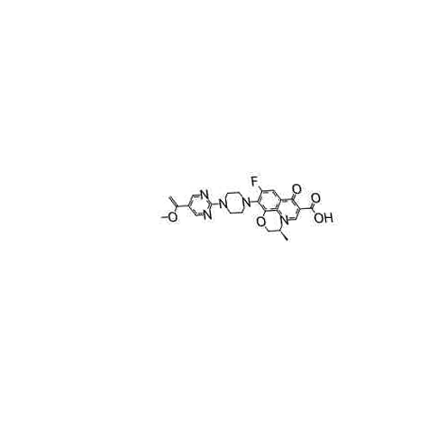 C=C(OC)c1cnc(N2CCN(c3c(F)cc4c(=O)c(C(=O)O)cn5c4c3OC[C@@H]5C)CC2)nc1